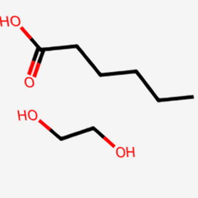 CCCCCC(=O)O.OCCO